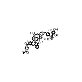 CC(C)c1cc(-c2nnc(O)n2-c2ccc(CN3CCN(CCC(C)(C)SS/C=C\C(=O)N(CCN(C)C)Cn4nc(Cc5ccc(F)c(C(=O)N6CCN(C(=O)C7CC7)CC6)c5)c5ccccc5c4=O)CC3)cc2)c(O)cc1O